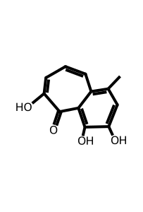 Cc1cc(O)c(O)c2c(=O)c(O)cccc12